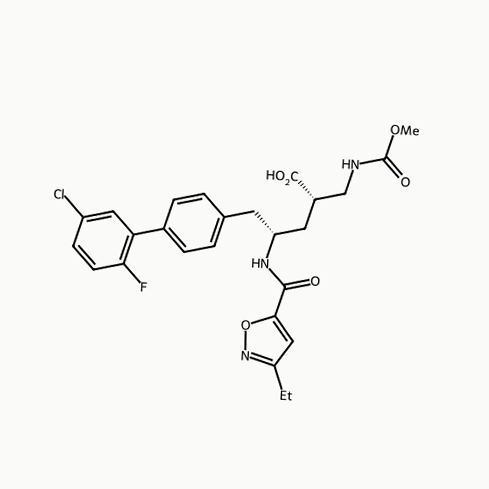 CCc1cc(C(=O)N[C@H](Cc2ccc(-c3cc(Cl)ccc3F)cc2)C[C@@H](CNC(=O)OC)C(=O)O)on1